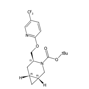 CC(C)(C)OC(=O)N1C[C@@H]2C[C@@H]2C[C@H]1COc1ccc(C(F)(F)F)cn1